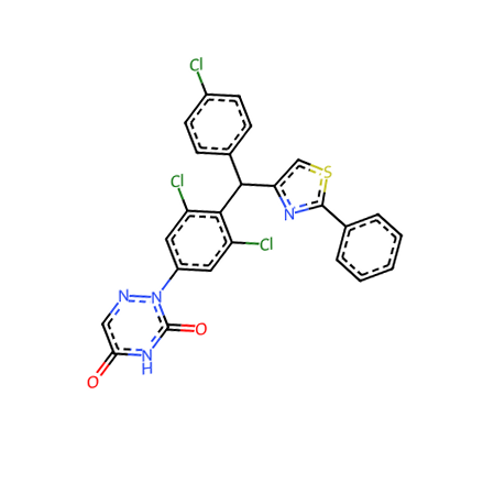 O=c1cnn(-c2cc(Cl)c(C(c3ccc(Cl)cc3)c3csc(-c4ccccc4)n3)c(Cl)c2)c(=O)[nH]1